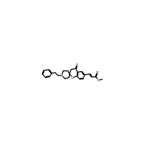 COC(=O)/C=C/c1ccc2c(c1)C(=O)CC1(CCN(CCc3ccccc3)CC1)O2